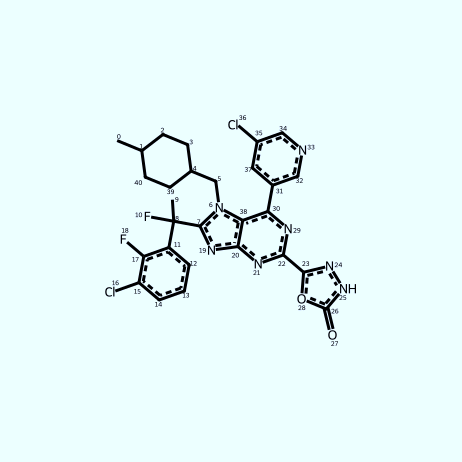 CC1CCC(Cn2c(C(C)(F)c3cccc(Cl)c3F)nc3nc(-c4n[nH]c(=O)o4)nc(-c4cncc(Cl)c4)c32)CC1